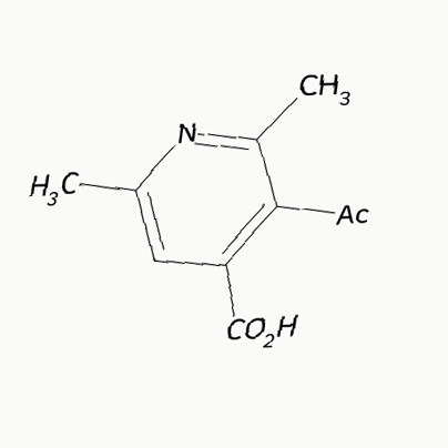 CC(=O)c1c(C(=O)O)cc(C)nc1C